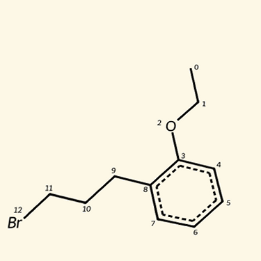 CCOc1ccccc1CCCBr